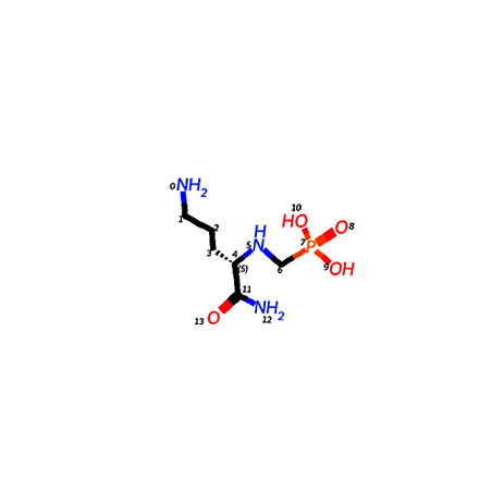 NCCC[C@H](NCP(=O)(O)O)C(N)=O